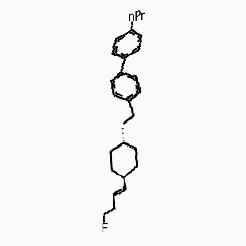 CCCc1ccc(-c2ccc(CC[C@H]3CC[C@H](C=CCCF)CC3)cc2)cc1